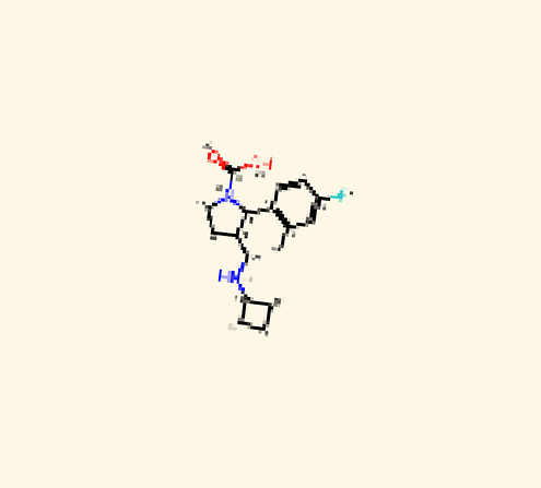 Cc1cc(F)ccc1C1C(CNC2CCC2)CCN1C(=O)O